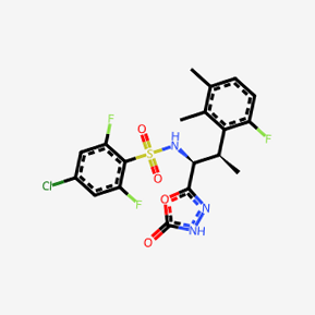 Cc1ccc(F)c([C@@H](C)[C@H](NS(=O)(=O)c2c(F)cc(Cl)cc2F)c2n[nH]c(=O)o2)c1C